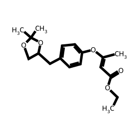 CCOC(=O)C=C(C)Oc1ccc(CC2COC(C)(C)O2)cc1